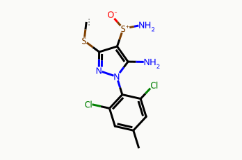 [C]Sc1nn(-c2c(Cl)cc(C)cc2Cl)c(N)c1[S+](N)[O-]